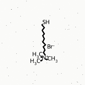 CC[N+](CC)(CC)CCCCCCCCCCCCS.[Br-]